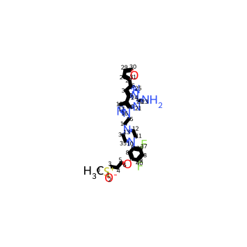 C[S+]([O-])CCCOc1cc(N2CCN(CCn3ncc4c3nc(N)n3nc(-c5ccco5)cc43)CC2)c(F)cc1F